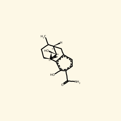 CC1CC[C@]23CCCC[C@@]2(O)[C@H]1Cc1ccc(C(N)=O)c(O)c13